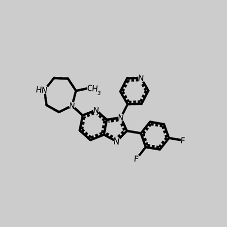 CC1CCNCCN1c1ccc2nc(-c3ccc(F)cc3F)n(-c3ccncc3)c2n1